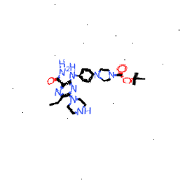 CCc1nc(C(N)=O)c(Nc2ccc(N3CCN(C(=O)OC(C)(C)C)CC3)cc2)nc1N1CCNCC1